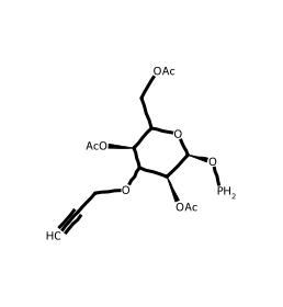 C#CCOC1[C@@H](OC(C)=O)C(COC(C)=O)O[C@@H](OP)[C@H]1OC(C)=O